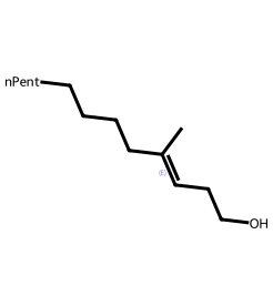 CCCCCCCCC/C(C)=C/CCO